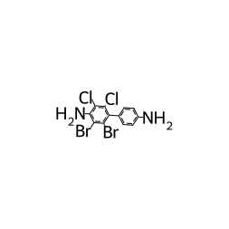 Nc1ccc(-c2c(Cl)c(Cl)c(N)c(Br)c2Br)cc1